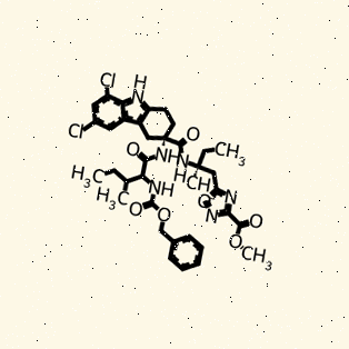 CCC(C)C(NC(=O)OCc1ccccc1)C(=O)N[C@@]1(C(=O)N[C@@](C)(CC)Cc2nc(C(=O)OC)no2)CCc2[nH]c3c(Cl)cc(Cl)cc3c2C1